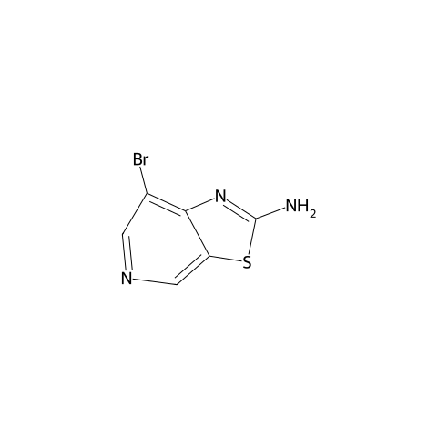 Nc1nc2c(Br)cncc2s1